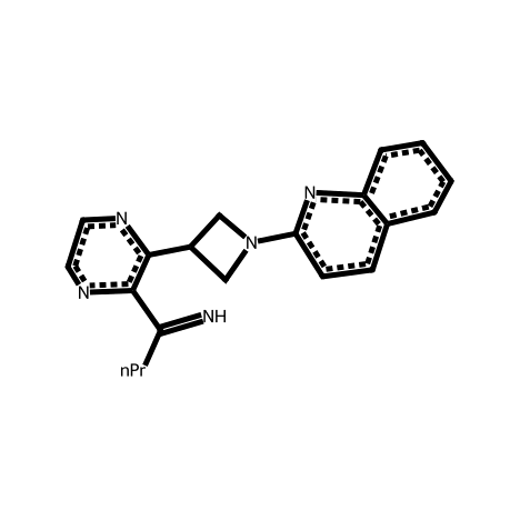 CCCC(=N)c1nccnc1C1CN(c2ccc3ccccc3n2)C1